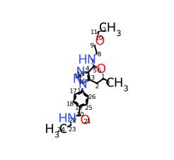 CCCc1c(C(=O)NCCOCC)nnn1-c1ccc(C(=O)NCC)cc1